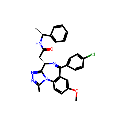 COc1ccc2c(c1)C(c1ccc(Cl)cc1)=N[C@@H](CC(=O)N[C@H](C)c1ccccc1)c1nnc(C)n1-2